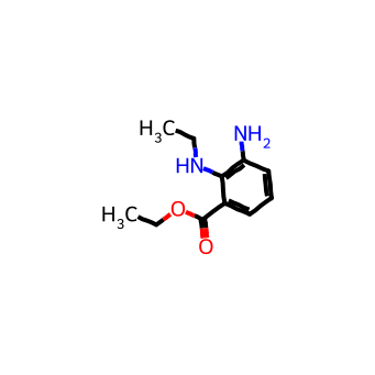 CCNc1c(N)cccc1C(=O)OCC